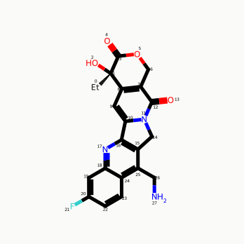 CC[C@@]1(O)C(=O)OCc2c1cc1n(c2=O)Cc2c-1nc1cc(F)ccc1c2CN